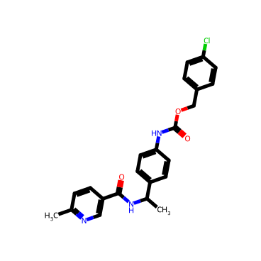 Cc1ccc(C(=O)NC(C)c2ccc(NC(=O)OCc3ccc(Cl)cc3)cc2)cn1